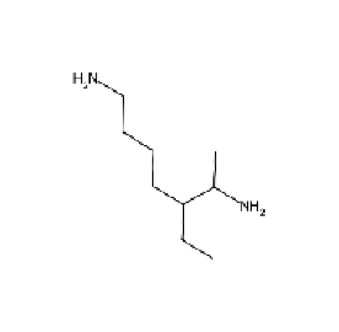 CCC(CCCCN)C(C)N